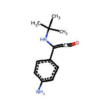 CC(C)(C)NC(=C=O)c1ccc(N)cc1